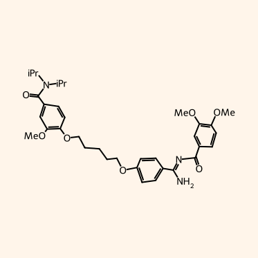 COc1ccc(C(=O)N=C(N)c2ccc(OCCCCCOc3ccc(C(=O)N(C(C)C)C(C)C)cc3OC)cc2)cc1OC